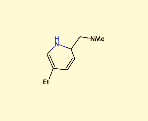 CCC1=CNC(CNC)C=C1